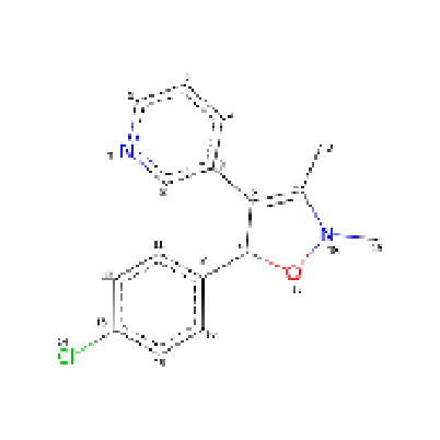 CC1=C(c2cccnc2)C(c2ccc(Cl)cc2)ON1C